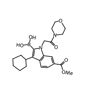 COC(=O)c1ccc2c(C3CCCCC3)c(B(O)O)n(CC(=O)N3CCOCC3)c2c1